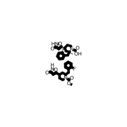 COC(=O)N1CCC(c2cc(=O)[nH]o2)CC1Cc1ccccc1F.C[C@]1(Cc2ccccc2F)C[C@H](c2cc(=O)[nH]o2)CCN1C(=O)O